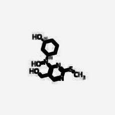 CSc1ncc(CO)c(N(O)[C@@H]2CCC[C@@H](O)C2)n1